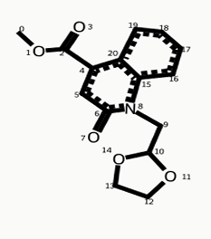 COC(=O)c1cc(=O)n(CC2OCCO2)c2ccccc12